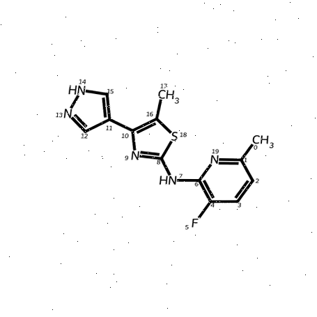 Cc1ccc(F)c(Nc2nc(-c3cn[nH]c3)c(C)s2)n1